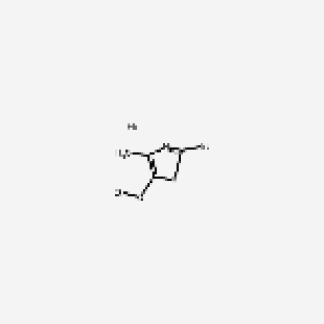 Br.CCOc1sc(CC)nc1C